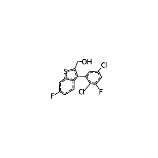 OCc1sc2cc(F)ccc2c1-c1cc(Cl)cc(F)c1Cl